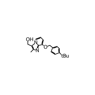 Cc1nc2c(OCc3ccc(C(C)(C)C)cc3)cccn2c1CO